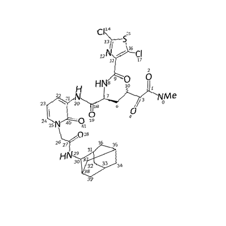 CNC(=O)C(=O)CC[C@H](NC(=O)c1nc(Cl)sc1Cl)C(=O)Nc1cccn(CC(=O)NC2C3CC4CC(C3)CC2C4)c1=O